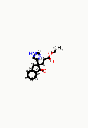 CCOC(=O)CCC1(c2c[nH]cn2)Cc2ccccc2C1=O